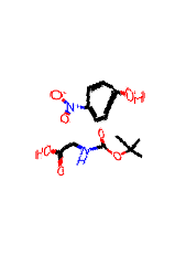 CC(C)(C)OC(=O)NCC(=O)O.O=[N+]([O-])c1ccc(O)cc1